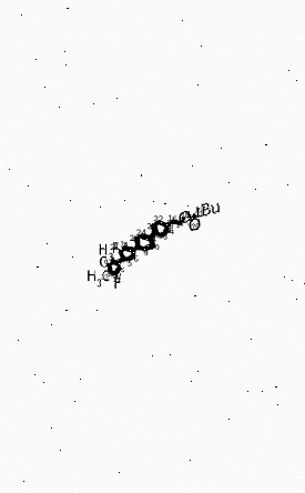 Cc1cc(-c2ccc(-c3ccc(-c4ccc(CCOC(=O)C(C)(C)C)cc4)cc3)cc2F)cc(F)c1C